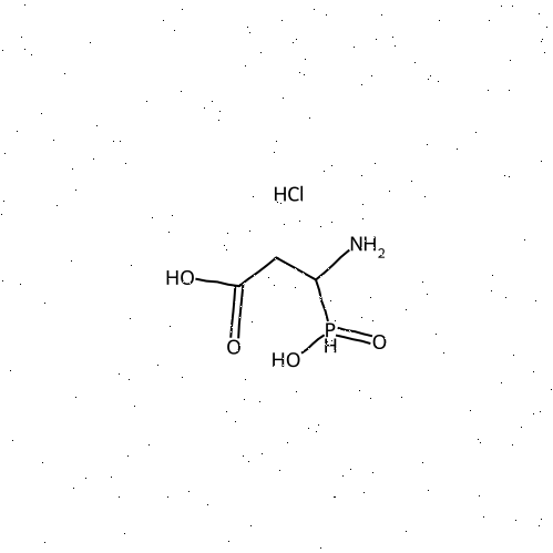 Cl.NC(CC(=O)O)[PH](=O)O